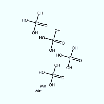 O=P(O)(O)O.O=P(O)(O)O.O=P(O)(O)O.O=P(O)(O)O.[Mn].[Mn]